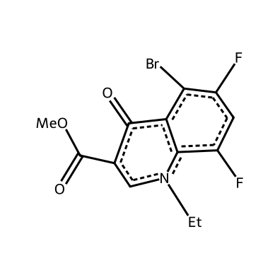 CCn1cc(C(=O)OC)c(=O)c2c(Br)c(F)cc(F)c21